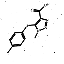 Cc1ccc(Sc2c(C(=O)O)nnn2C)cc1